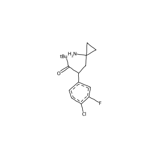 CC(C)(C)C(=O)C(CC1(N)CC1)c1ccc(Cl)c(F)c1